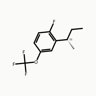 CC[C@H](C)c1cc(OC(F)(F)F)ccc1F